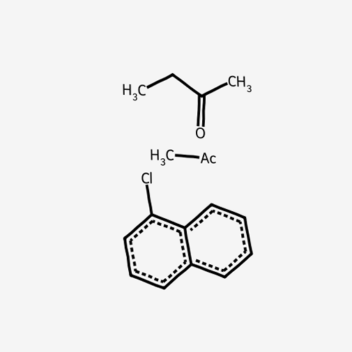 CC(C)=O.CCC(C)=O.Clc1cccc2ccccc12